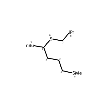 CCCCC(C[CH]CSC)SCC(C)C